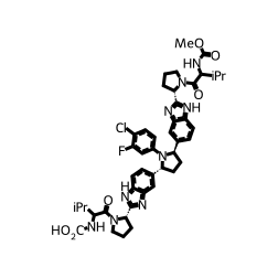 COC(=O)NC(C(=O)N1CCC[C@H]1c1nc2cc([C@H]3CC[C@H](c4ccc5[nH]c([C@@H]6CCCN6C(=O)C(NC(=O)O)C(C)C)nc5c4)N3c3ccc(Cl)c(F)c3)ccc2[nH]1)C(C)C